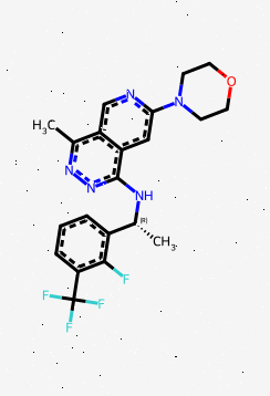 Cc1nnc(N[C@H](C)c2cccc(C(F)(F)F)c2F)c2cc(N3CCOCC3)ncc12